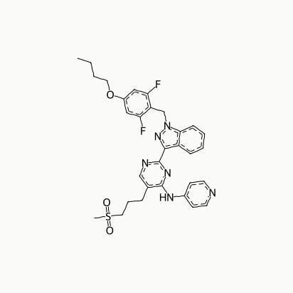 CCCCOc1cc(F)c(Cn2nc(-c3ncc(CCCS(C)(=O)=O)c(Nc4ccncc4)n3)c3ccccc32)c(F)c1